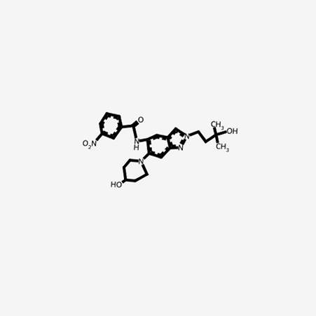 CC(C)(O)CCn1cc2cc(NC(=O)c3cccc([N+](=O)[O-])c3)c(N3CCC(O)CC3)cc2n1